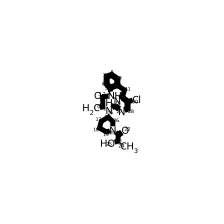 C=CC(=O)Nc1ccccc1Cc1nc(N[C@H]2CCCN(C(=O)[C@H](C)O)C2)ncc1Cl